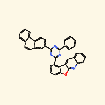 c1ccc(-c2nc(-c3ccc4c(ccc5ccccc54)c3)nc(-c3cccc4oc5nc6ccccc6cc5c34)n2)cc1